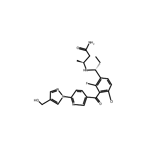 CC[C@@H](N[C@@H](C)CC(N)=O)c1ccc(Cl)c(C(=O)c2ccc(-n3cc(CO)cn3)nc2)c1F